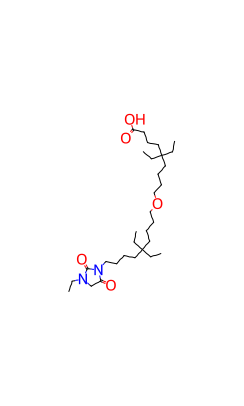 CCN1CC(=O)N(CCCCC(CC)(CC)CCCCOCCCCC(CC)(CC)CCCC(=O)O)C1=O